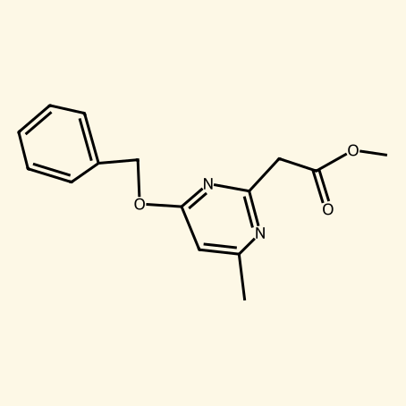 COC(=O)Cc1nc(C)cc(OCc2ccccc2)n1